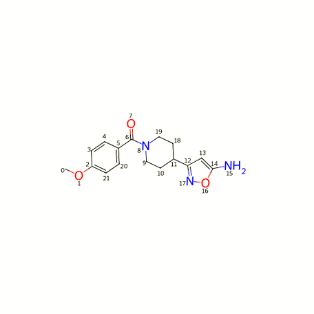 COc1ccc(C(=O)N2CCC(c3cc(N)on3)CC2)cc1